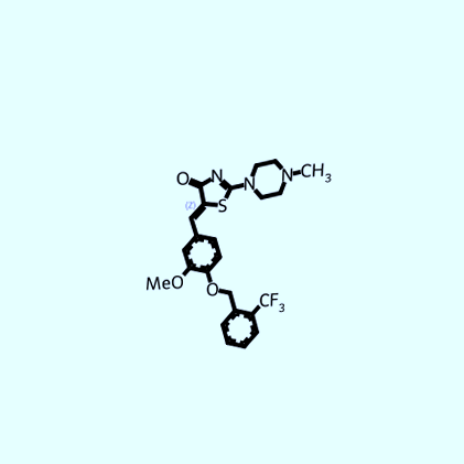 COc1cc(/C=C2\SC(N3CCN(C)CC3)=NC2=O)ccc1OCc1ccccc1C(F)(F)F